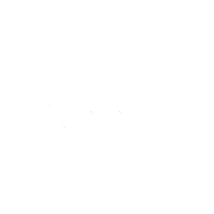 Clc1nsnc1N1CCN(c2ccccc2)CC1